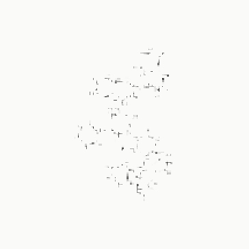 c1ccc(-c2nc(-c3cccc4c3Sc3ccccc3C43c4ccccc4-c4ccccc43)cc(-c3cc(-c4nccc5ccccc45)cc4ccccc34)n2)cc1